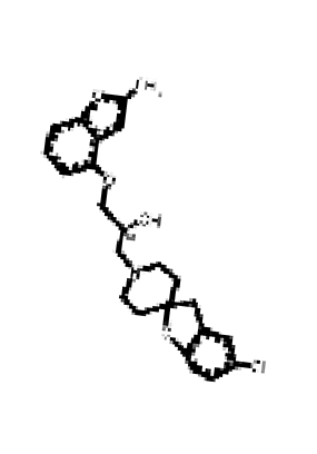 Cc1cc2c(OC[C@@H](O)CN3CCC4(CC3)Cc3cc(Cl)ccc3O4)cccc2o1